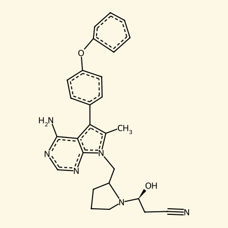 Cc1c(-c2ccc(Oc3ccccc3)cc2)c2c(N)ncnc2n1CC1CCCN1[C@@H](O)CC#N